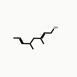 C/C=C/C(C)C/C(C)=C/CO